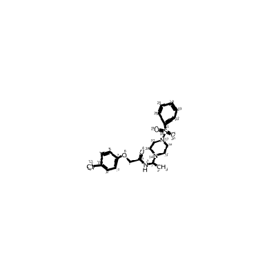 CC(NC(=O)COc1ccc(Cl)cc1)N1CCN(S(=O)(=O)c2ccccc2)CC1